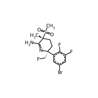 C[C@@]1(S(C)(=O)=O)CC[C@@](CF)(c2cc(Br)cc(F)c2F)N=C1N